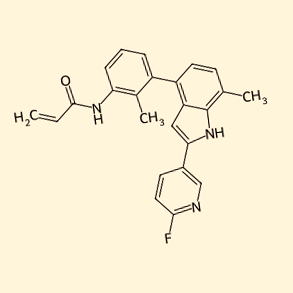 C=CC(=O)Nc1cccc(-c2ccc(C)c3[nH]c(-c4ccc(F)nc4)cc23)c1C